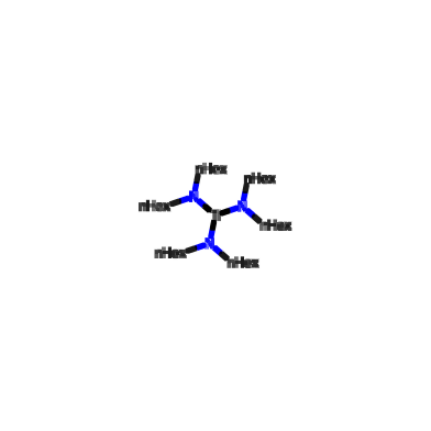 CCCCCC[N](CCCCCC)[Ti]([N](CCCCCC)CCCCCC)[N](CCCCCC)CCCCCC